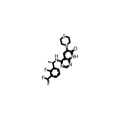 C[C@@H](Nc1ncnc2[nH]c(=O)c(N3CCSCC3)cc12)c1cccc(C(F)F)c1F